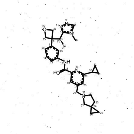 Cn1cnnc1[C@@H](F)C1(c2cccc(NC(=O)c3cc(CN4CCC5(CC5)C4)cc(C4CC4)n3)c2)COC1